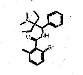 CCC(CC)(C(NC(=O)c1c(C)cccc1Br)c1ccccc1)N(C)C